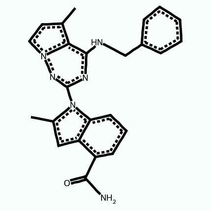 Cc1ccn2nc(-n3c(C)cc4c(C(N)=O)cccc43)nc(NCc3ccccc3)c12